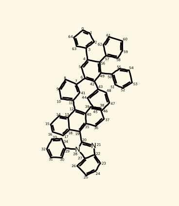 c1ccc(-c2cc(-c3cccc(-c4c5ccccc5c(-c5nc6ccccc6n5-c5ccccc5)c5ccccc45)c3)c(-c3ccccc3)c(-c3ccccc3)c2-c2ccccc2)cc1